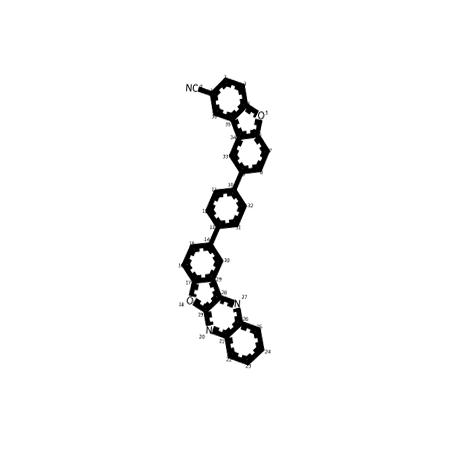 N#Cc1ccc2oc3ccc(-c4ccc(-c5ccc6oc7nc8ccccc8nc7c6c5)cc4)cc3c2c1